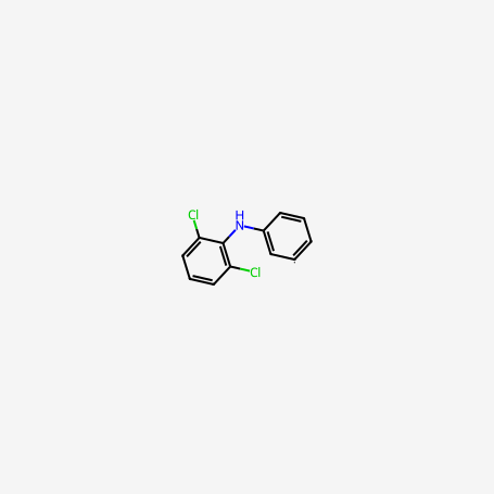 Clc1cccc(Cl)c1Nc1c[c]ccc1